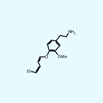 CC/C=C\C=C/Oc1ccc(CCN)cc1OC